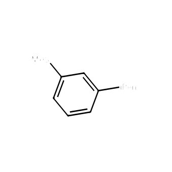 CCCC(C)c1cccc(SC)c1